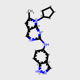 Cc1cc2cnc(Nc3ccc4[nH]ncc4c3)nc2n1C1CCCC1